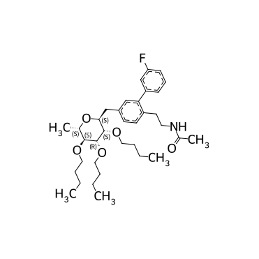 CCCCO[C@@H]1[C@@H](OCCCC)[C@H](C)O[C@@H](Cc2ccc(CCNC(C)=O)c(-c3cccc(F)c3)c2)[C@@H]1OCCCC